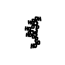 O=C(O)COCCN(CCOC(CC(=O)O)C(=O)O)C(CC(=O)O)C(=O)O